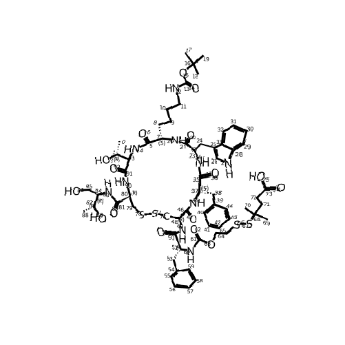 C[C@@H](O)C1NC(=O)[C@H](CCCCNC(=O)OC(C)(C)C)NC(=O)[C@@H](Cc2c[nH]c3ccccc23)NC(=O)[C@H](Cc2ccccc2)NC(=O)[C@@H](NC(=O)[C@@H](Cc2ccccc2)NC(=O)OCCSSC(C)(C)CCC(=O)O)CSSC[C@@H](C(=O)N[C@H](CO)[C@@H](C)O)NC1=O